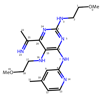 COCCNc1nc(Nc2cc(C)ccn2)c(NCCOC)c(C(C)=N)n1